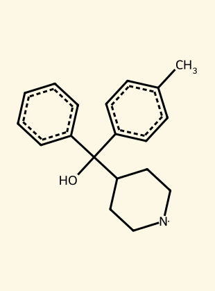 Cc1ccc(C(O)(c2ccccc2)C2CC[N]CC2)cc1